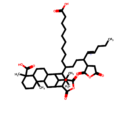 CCC/C=C/C(CCC(CCCCCCCCC(=O)O)C1C2C(=O)OC(=O)C2C2CC3C(CCC4C(C)(C(=O)O)CCCC34C)C1C2C(C)C)C1CC(=O)OC1=O